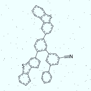 N#Cc1cc(-c2ccccc2)cc(-c2cc(-c3ccc4sc5ccccc5c4c3)ccc2-c2ccc3c(c2)sc2ccccc23)c1